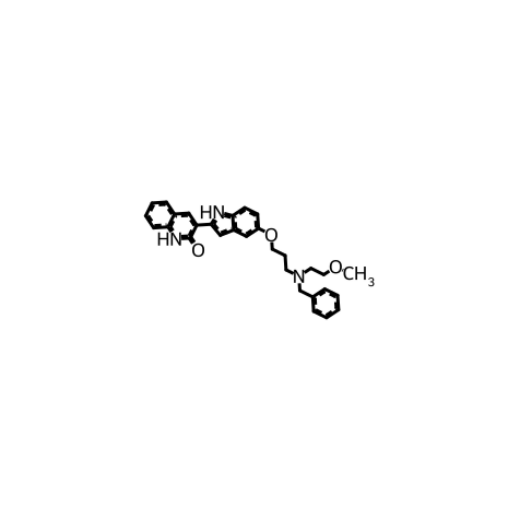 COCCN(CCCOc1ccc2[nH]c(-c3cc4ccccc4[nH]c3=O)cc2c1)Cc1ccccc1